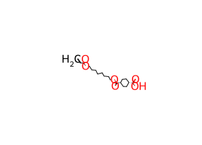 C=CC(=O)OCCCCCCCCOC(=O)[C@H]1CC[C@H](C(=O)O)CC1